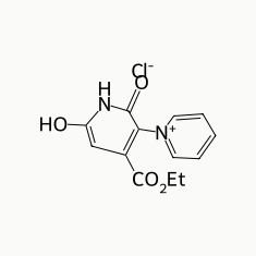 CCOC(=O)c1cc(O)[nH]c(=O)c1-[n+]1ccccc1.[Cl-]